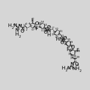 C/C(=C\c1cc(F)c(Oc2ccc(S(=O)(=O)NCc3ccc(CNS(=O)(=O)c4ccc(Oc5c(F)cc(/C=C(\C)C(=O)N=C(N)N)cc5F)cc4)cc3)cc2)c(F)c1)C(=O)N=C(N)N